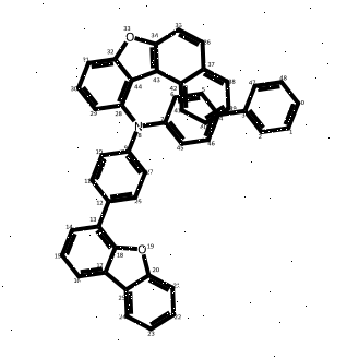 c1ccc(-c2ccc(N(c3ccc(-c4cccc5c4oc4ccccc45)cc3)c3cccc4oc5ccc6ccccc6c5c34)cc2)cc1